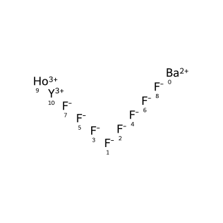 [Ba+2].[F-].[F-].[F-].[F-].[F-].[F-].[F-].[F-].[Ho+3].[Y+3]